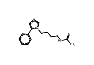 CC(=O)NCCCCn1cncc1-c1ccccc1